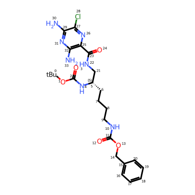 CC(C)(C)OC(=O)N[C@@H](CCCCNC(=O)OCc1ccccc1)CNC(=O)c1nc(Cl)c(N)nc1N